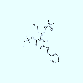 C=CC[C@H](COS(C)(=O)=O)[C@H](NC(=O)OCc1ccccc1)C(=O)OC(C)(C)CC